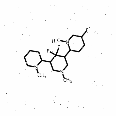 CN1CC(C2CCCCN2C)C(F)(F)C(C2CCC(F)CN2C)C1